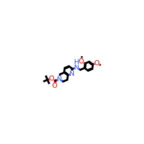 COc1ccc(CNc2ccc3c(n2)CCN(C(=O)OC(C)(C)C)C3)c(OC)c1